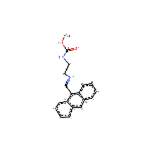 CC(C)(C)OC(=O)NCC/N=C/c1c2ccccc2cc2ccccc12